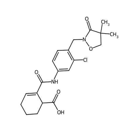 CC1(C)CON(Cc2ccc(NC(=O)C3=CCCCC3C(=O)O)cc2Cl)C1=O